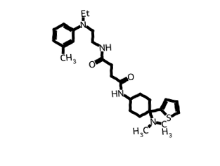 CCN(CCNC(=O)CCC(=O)NC1CCC(c2cccs2)(N(C)C)CC1)c1cccc(C)c1